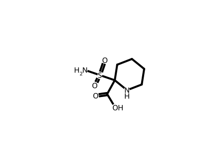 NS(=O)(=O)C1(C(=O)O)CCCCN1